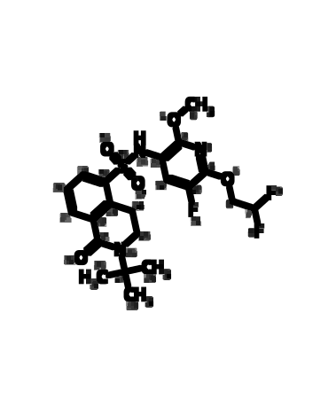 COc1nc(OCC(F)F)c(F)cc1NS(=O)(=O)c1cccc2c1CCN(C(C)(C)C)C2=O